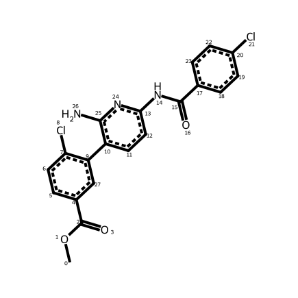 COC(=O)c1ccc(Cl)c(-c2ccc(NC(=O)c3ccc(Cl)cc3)nc2N)c1